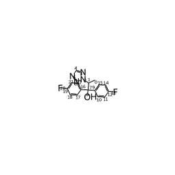 CC(n1ncnn1)C(O)(c1ccc(F)cc1)c1ccc(F)cc1